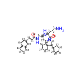 NCCC[C@@H]1N[C@H](CNC(=O)C=Cc2ccc3ccccc3c2)CCN(CC(c2ccccc2)c2ccccc2)C1=O